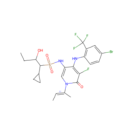 C/C=C(\C)n1cc(NS(=O)(=O)C(C(O)CC)C2CC2)c(Nc2ccc(Br)cc2C(F)(F)F)c(F)c1=O